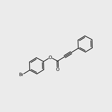 O=C(C#Cc1ccccc1)Oc1ccc(Br)cc1